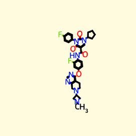 CN1CC(N2CCc3c(ncnc3Oc3ccc(NC(=O)c4cn(C5CCCC5)c(=O)n(-c5ccc(F)cc5)c4=O)c(F)c3)C2)C1